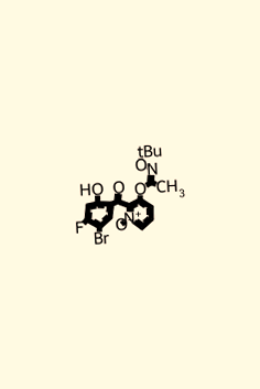 C/C(=N/OC(C)(C)C)Oc1ccc[n+]([O-])c1C(=O)c1cc(Br)c(F)cc1O